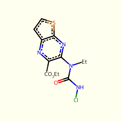 CCOC(=O)c1nc2ccsc2nc1N(CC)C(=O)NCl